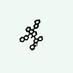 CC1c2c(c(-c3ccc4ccccc4c3)c3ccccc3c2C2=CC3=C(CCC=C3)CC2)C=CC1C1Cc2c(sc3c2CCC#C3)C2=C1C=CCC2